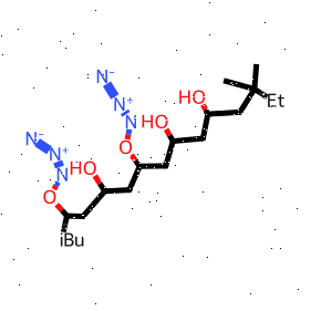 CCC(C)C(CC(O)CC(CC(O)CC(O)CC(C)(C)CC)ON=[N+]=[N-])ON=[N+]=[N-]